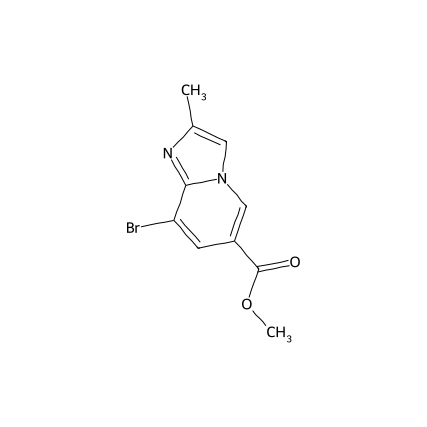 COC(=O)c1cc(Br)c2nc(C)cn2c1